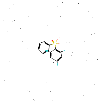 O=S(O)(O)(c1ccccc1)c1c(F)cc(F)cc1F